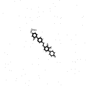 CCCCCCOc1ccc(-c2ccc(CCc3ccc(C4CCC(C)CC4)c(F)c3F)cc2)c(F)c1